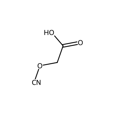 N#COCC(=O)O